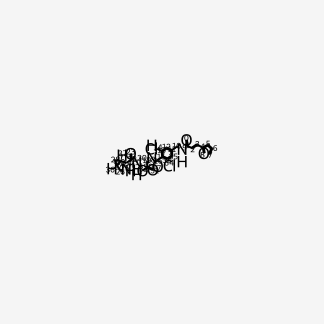 O=C(/C=C/c1ccco1)NCc1cc(Cl)c(C(=O)N[C@@H](CNC(=O)C2NC[C@H]3C[C@H]23)C(=O)O)c(Cl)c1